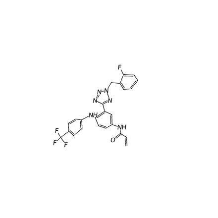 C=CC(=O)Nc1ccc(Nc2ccc(C(F)(F)F)cc2)c(-c2nnn(Cc3ccccc3F)n2)c1